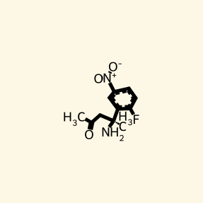 CC(=O)C[C@](C)(N)c1cc([N+](=O)[O-])ccc1F